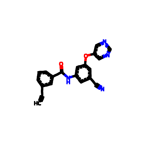 C#Cc1cccc(C(=O)Nc2cc(C#N)cc(Oc3cncnc3)c2)c1